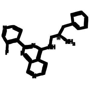 N[C@@H](CNc1nc(-c2ccncc2F)nc2cnccc12)Cc1ccccc1